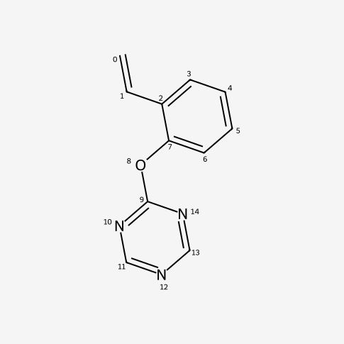 C=Cc1ccccc1Oc1ncncn1